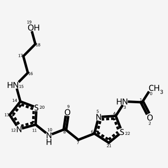 CC(=O)Nc1nc(CC(=O)Nc2ncc(NCCCO)s2)cs1